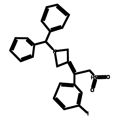 O=[SH](=O)CC(=C1CN(C(c2ccccc2)c2ccccc2)C1)c1cccc(I)c1